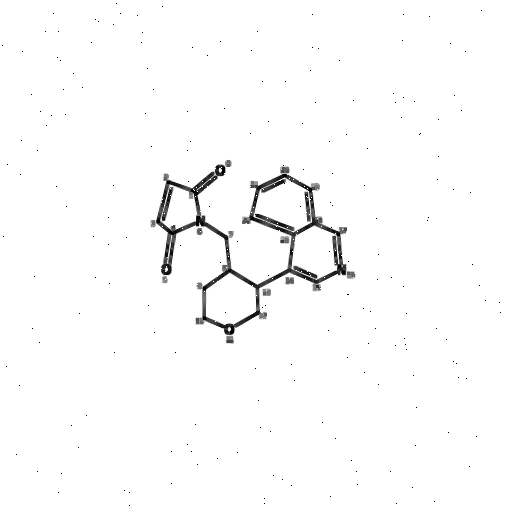 O=C1C=CC(=O)N1CC1CCOCC1c1cncc2ccccc12